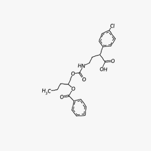 CCCC(OC(=O)NCCC(C(=O)O)c1ccc(Cl)cc1)OC(=O)c1ccccc1